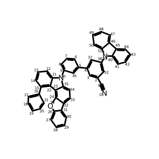 N#Cc1cc(-c2cccc(-n3c4cccc(-c5ccccc5)c4c4c5oc6ccccc6c5ccc43)c2)cc(-n2c3ccccc3c3ccccc32)c1